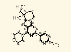 CC[C@@]1(C)OCCn2c1nc1c(N3CCOCC3)nc(-c3cnc(N)nc3)nc12